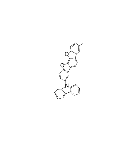 CC1=CC2c3ccc4c(oc5ccc(-n6c7ccccc7c7ccccc76)cc54)c3OC2C=C1